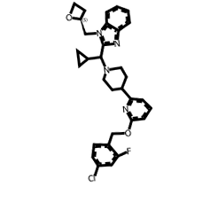 Fc1cc(Cl)ccc1COc1cccc(C2CCN(C(c3nc4ccccc4n3C[C@@H]3CCO3)C3CC3)CC2)n1